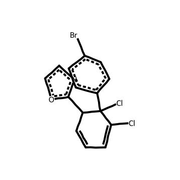 ClC1=CC=CC(c2ncco2)C1(Cl)c1ccc(Br)cc1